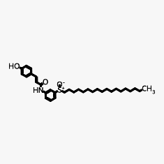 CCCCCCCCCCCCCCCCCC[S+]([O-])c1cccc(NC(=O)C=Cc2ccc(O)cc2)c1